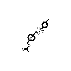 CC(=O)OCC12CCC(COS(=O)(=O)c3ccc(C)cc3)(CC1)OC2